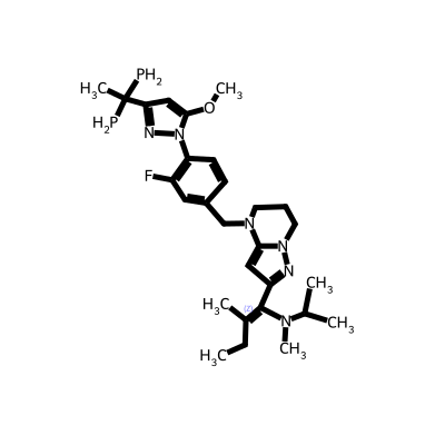 CC/C(C)=C(/c1cc2n(n1)CCCN2Cc1ccc(-n2nc(C(C)(P)P)cc2OC)c(F)c1)N(C)C(C)C